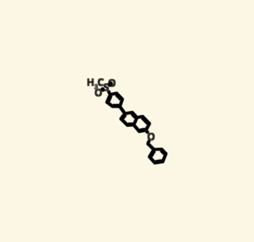 CS(=O)(=O)c1ccc(-c2ccc3cc(OCc4ccccc4)ccc3c2)cc1